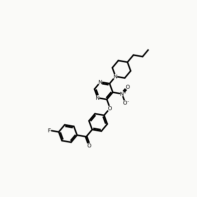 CCCC1CCN(c2ncnc(Oc3ccc(C(=O)c4ccc(F)cc4)cc3)c2[N+](=O)[O-])CC1